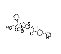 O=C(Nc1cc2c(s1)CN(C(C(=O)CO)c1ccccc1)S2(=O)=O)c1ccc(-n2cccn2)cc1